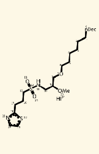 CCCCCCCCCCCCCCCCOCC(CNS(=O)(=O)CCCc1nccs1)OC.I